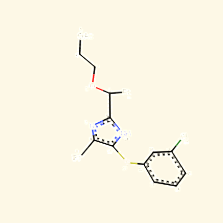 CCC(OCCOC(C)=O)c1nc(C(C)C)c(Sc2cccc(Cl)c2)[nH]1